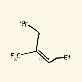 CC/C=C(\CC(C)C)C(F)(F)F